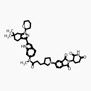 CN(C(=O)CCC1CCN(c2ccc3c(c2)C(=O)N(C2CCC(=O)NC2=O)C3=O)C1)c1ccc2cc(-c3nn(C4CCCCO4)c4c3CCC(C)(C)C4)[nH]c2c1